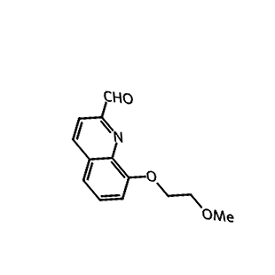 COCCOc1cccc2ccc(C=O)nc12